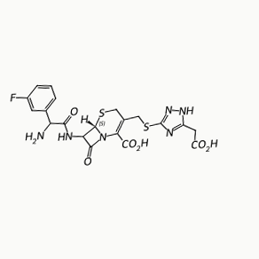 NC(C(=O)NC1C(=O)N2C(C(=O)O)=C(CSc3n[nH]c(CC(=O)O)n3)CS[C@@H]12)c1cccc(F)c1